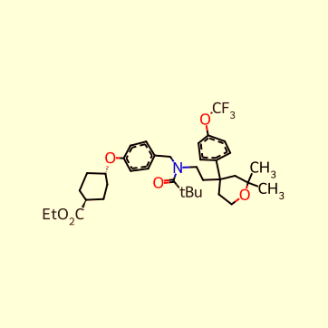 CCOC(=O)[C@H]1CC[C@H](Oc2ccc(CN(CCC3(c4ccc(OC(F)(F)F)cc4)CCOC(C)(C)C3)C(=O)C(C)(C)C)cc2)CC1